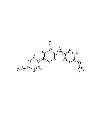 O=Cc1cnc(N2CCC(Oc3ccc(OC(F)(F)F)cc3)C(F)C2)nc1